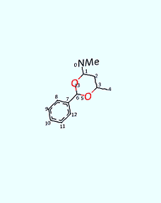 CNC1CC(C)OC(c2ccccc2)O1